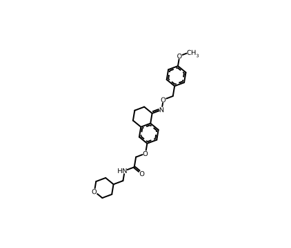 COc1ccc(CON=C2CCCc3cc(OCC(=O)NCC4CCOCC4)ccc32)cc1